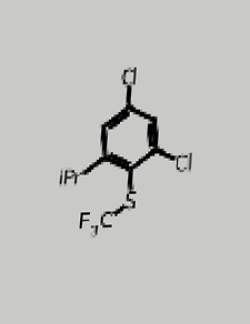 CC(C)c1cc(Cl)cc(Cl)c1SC(F)(F)F